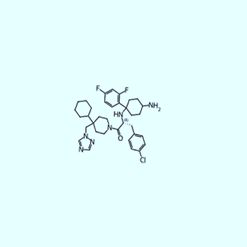 NC1CCC(N[C@H](Cc2ccc(Cl)cc2)C(=O)N2CCC(Cn3cncn3)(C3CCCCC3)CC2)(c2ccc(F)cc2F)CC1